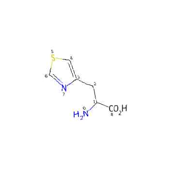 NC(Cc1cscn1)C(=O)O